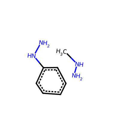 CNN.NNc1ccccc1